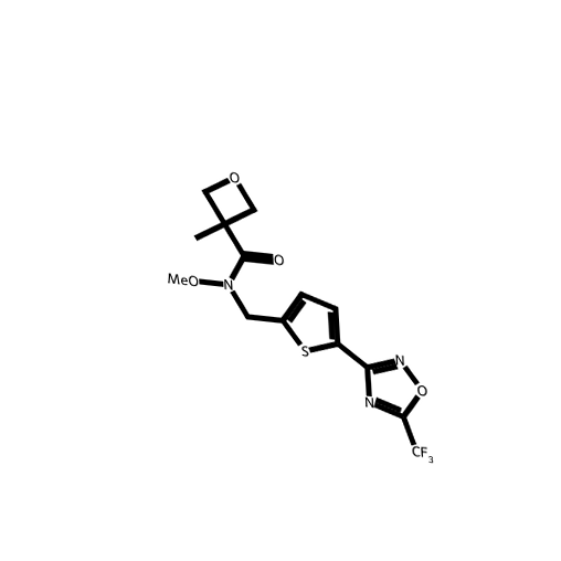 CON(Cc1ccc(-c2noc(C(F)(F)F)n2)s1)C(=O)C1(C)COC1